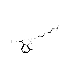 COCCOCCOOS(=O)(=O)c1c(C)cccc1C(C)C